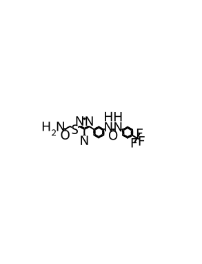 N#Cc1c(SCC(N)=O)ncnc1-c1cccc(NC(=O)Nc2ccc(C(F)(F)F)cc2)c1